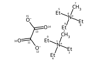 CC[N+](C)(CC)CC.CC[N+](C)(CC)CC.O=C([O-])C(=O)[O-]